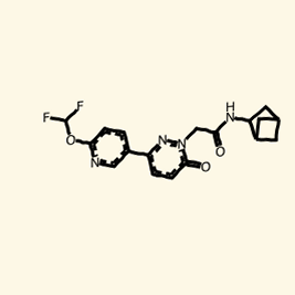 O=C(Cn1nc(-c2ccc(OC(F)F)nc2)ccc1=O)NC1CC2CC1C2